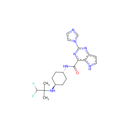 CC(C)(N[C@H]1CC[C@H](NC(=O)c2nc(-n3ccnc3)nc3cc[nH]c23)CC1)C(F)F